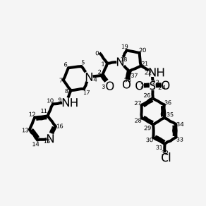 CC(C(=O)N1CCCC(NCc2cccnc2)C1)N1CCC(NS(=O)(=O)c2ccc3cc(Cl)ccc3c2)C1=O